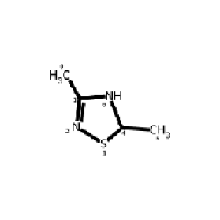 CC1=NSC(C)N1